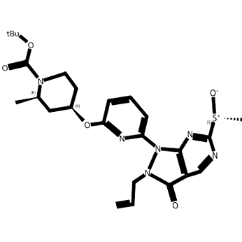 C=CCn1c(=O)c2cnc([S@@+](C)[O-])nc2n1-c1cccc(O[C@@H]2CCN(C(=O)OC(C)(C)C)[C@H](C)C2)n1